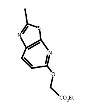 CCOC(=O)COc1ccc2nc(C)sc2n1